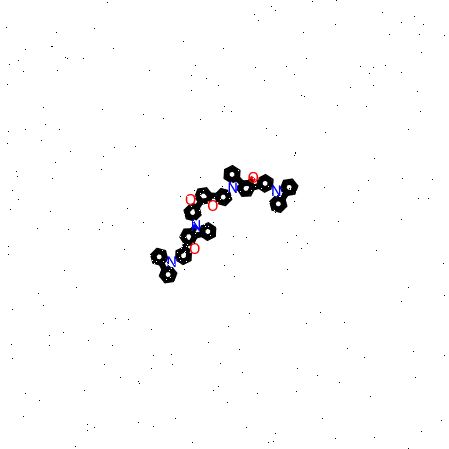 c1ccc2c(c1)c1ccccc1n2-c1ccc2oc3c(ccc4c3c3ccccc3n4-c3ccc4oc5c(ccc6oc7ccc(-n8c9ccccc9c9c%10oc%11ccc(-n%12c%13ccccc%13c%13ccccc%13%12)cc%11c%10ccc98)cc7c65)c4c3)c2c1